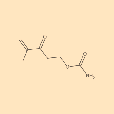 C=C(C)C(=O)CCOC(N)=O